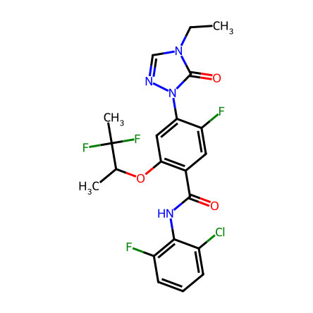 CCn1cnn(-c2cc(OC(C)C(C)(F)F)c(C(=O)Nc3c(F)cccc3Cl)cc2F)c1=O